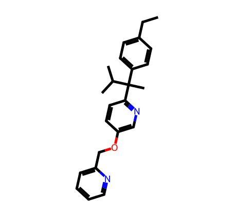 CCc1ccc(C(C)(c2ccc(OCc3ccccn3)cn2)C(C)C)cc1